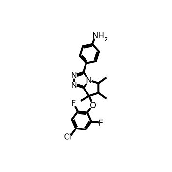 CC1C(C)C(C)(Oc2c(F)cc(Cl)cc2F)c2nnc(-c3ccc(N)cc3)n21